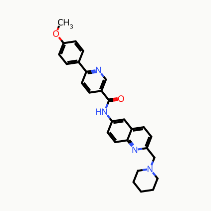 COc1ccc(-c2ccc(C(=O)Nc3ccc4nc(CN5CCCCC5)ccc4c3)cn2)cc1